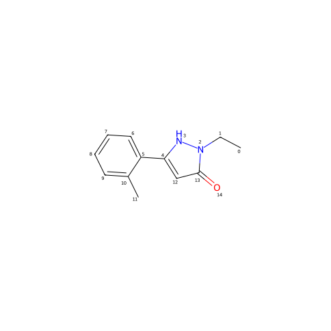 CCn1[nH]c(-c2ccccc2C)cc1=O